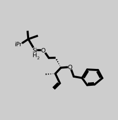 C=C[C@H](C)[C@H](CCO[SiH2]C(C)(C)C(C)C)OCc1ccccc1